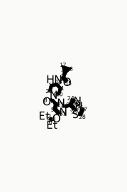 CCC(CC)Oc1cc(C(=O)N2CCC(NC(=O)C3CC3)CC2)nc(-c2cnn3ccsc23)n1